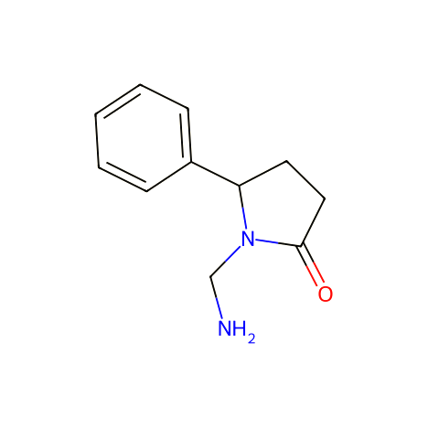 NCN1C(=O)CCC1c1ccccc1